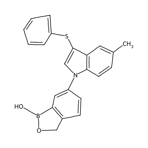 Cc1ccc2c(c1)c(Sc1ccccc1)cn2-c1ccc2c(c1)B(O)OC2